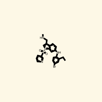 CCc1cc(Br)ccc1Nc1ccc2c(CNC)cn(S(=O)(=O)c3cccnc3)c2c1